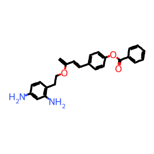 C=C(/C=C/c1ccc(OC(=O)c2ccccc2)cc1)OCCc1ccc(N)cc1N